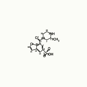 CC1CN(C(=O)c2cc(S(=O)(=O)O)cc3ccoc23)CCN1